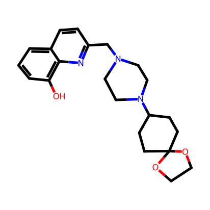 Oc1cccc2ccc(CN3CCN(C4CCC5(CC4)OCCO5)CC3)nc12